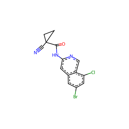 N#CC1(C(=O)Nc2cc3cc(Br)cc(Cl)c3cn2)CC1